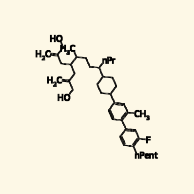 C=C(CO)CC(CC(=C)CO)C(C)CCC(CCC)C1CCC(c2ccc(-c3ccc(CCCCC)c(F)c3)c(C)c2)CC1